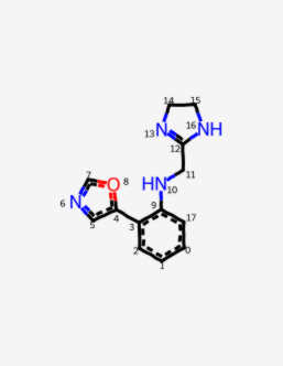 c1ccc(-c2cnco2)c(NCC2=NCCN2)c1